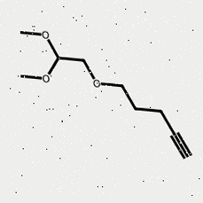 C#CCCCOCC(OC)OC